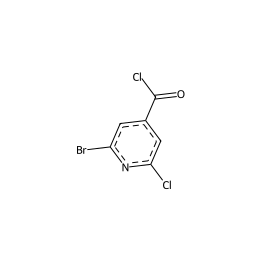 O=C(Cl)c1cc(Cl)nc(Br)c1